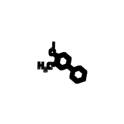 CC1=C(OI)CCC(C2CCCCC2)C1